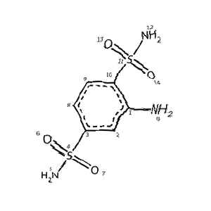 Nc1cc(S(N)(=O)=O)ccc1S(N)(=O)=O